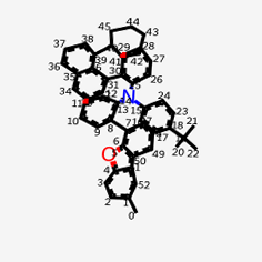 Cc1ccc2oc3c(-c4ccccc4N(c4ccc(C(C)(C)C)cc4)c4ccccc4-c4cccc5cccc(C6CCCCC6)c45)cccc3c2c1